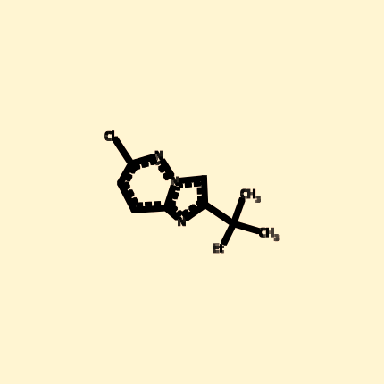 CCC(C)(C)c1cn2nc(Cl)ccc2n1